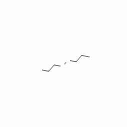 BrCCSSCCI